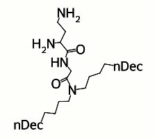 CCCCCCCCCCCCCCN(CCCCCCCCCCCCCC)C(=O)CNC(=O)C(N)CCN